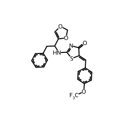 O=C1N=C(NC(Cc2ccccc2)C2=COCO2)SC1=Cc1ccc(OC(F)(F)F)cc1